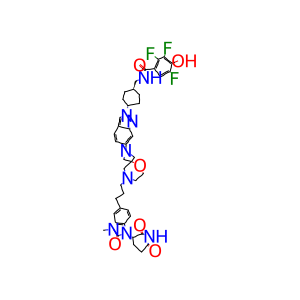 Cn1c(=O)n(C2CCC(=O)NC2=O)c2ccc(CCCN3CCOC4(C3)CN(c3ccc5cn([C@H]6CC[C@H](CNC(=O)c7cc(F)c(O)c(F)c7F)CC6)nc5c3)C4)cc21